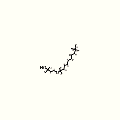 CC(C)(O)CCOC(C)(C)CCCCCCCC(F)(F)F